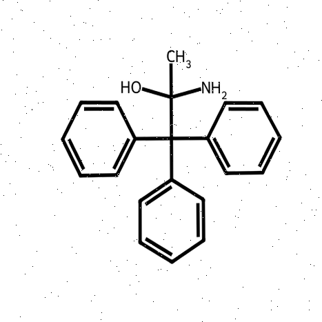 CC(N)(O)C(c1ccccc1)(c1ccccc1)c1ccccc1